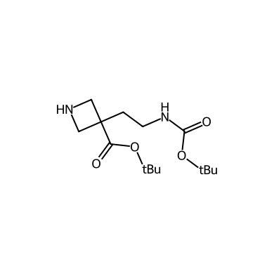 CC(C)(C)OC(=O)NCCC1(C(=O)OC(C)(C)C)CNC1